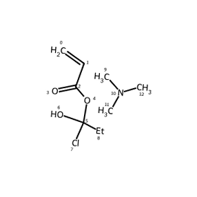 C=CC(=O)OC(O)(Cl)CC.CN(C)C